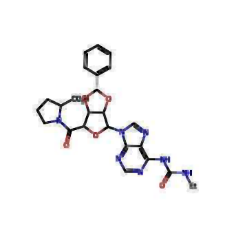 CCNC(=O)Nc1ncnc2c1ncn2C1OC(C(=O)N2CCCC2C(=O)O)C2O[C@H](c3ccccc3)OC21